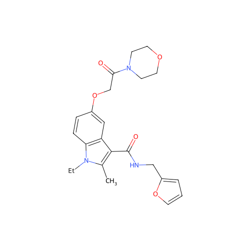 CCn1c(C)c(C(=O)NCc2ccco2)c2cc(OCC(=O)N3CCOCC3)ccc21